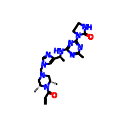 C=CC(=O)N1[C@H](C)CN(Cn2cnc([C@H](C)Nc3nc(C)nc(N4CCNC4=O)n3)c2)C[C@@H]1C